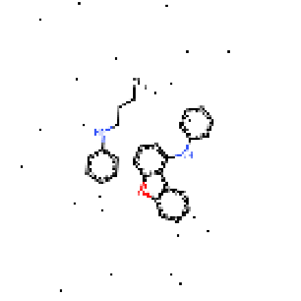 CCCCNc1ccccc1.c1ccc(Nc2cccc3oc4ccccc4c23)cc1